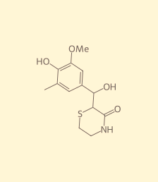 COc1cc(C(O)C2SCCNC2=O)cc(C)c1O